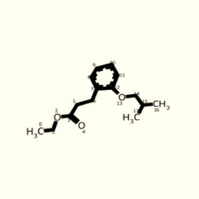 CCOC(=O)CCc1ccccc1OCC(C)C